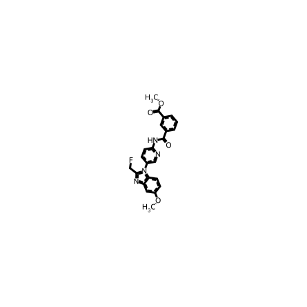 COC(=O)c1cccc(C(=O)Nc2ccc(-n3c(CF)nc4cc(OC)ccc43)cn2)c1